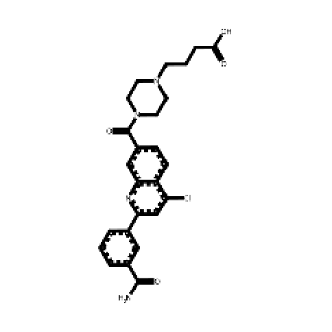 NC(=O)c1cccc(-c2cc(Cl)c3ccc(C(=O)N4CCN(CCCC(=O)O)CC4)cc3n2)c1